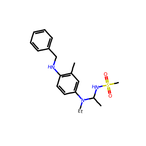 CCN(c1ccc(NCc2ccccc2)c(C)c1)C(C)NS(C)(=O)=O